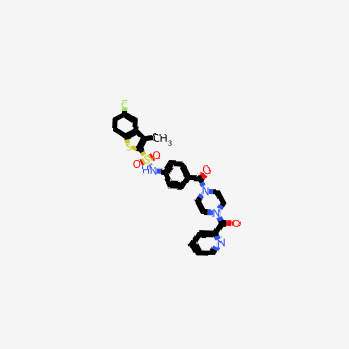 Cc1c(S(=O)(=O)Nc2ccc(C(=O)N3CCN(C(=O)c4ccccn4)CC3)cc2)sc2c1C=C(F)CC2